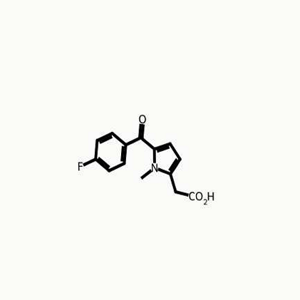 Cn1c(CC(=O)O)ccc1C(=O)c1ccc(F)cc1